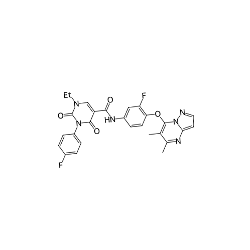 CCn1cc(C(=O)Nc2ccc(Oc3c(C)c(C)nc4ccnn34)c(F)c2)c(=O)n(-c2ccc(F)cc2)c1=O